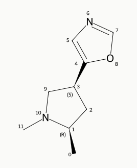 C[C@@H]1C[C@H](c2cnco2)CN1C